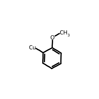 COc1cccc[c]1[Cu]